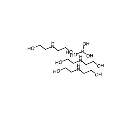 OB(O)O.OCCNCCO.OCCNCCO.OCCNCCO